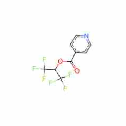 O=C(OC(C(F)(F)F)C(F)(F)F)c1ccncc1